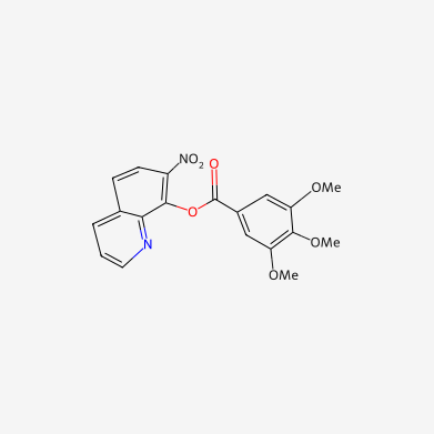 COc1cc(C(=O)Oc2c([N+](=O)[O-])ccc3cccnc23)cc(OC)c1OC